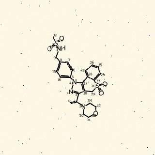 C=C(c1nn(-c2ccc(CNS(C)(=O)=O)cc2)c2c1CS(=O)(=O)c1ccccc1-2)N1CCOCC1